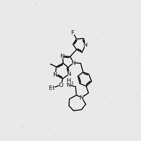 CCOc1nc(C)c2nc(-c3cncc(F)c3)n(Cc3ccc(CN4CCCCCC4CN)cc3)c2n1